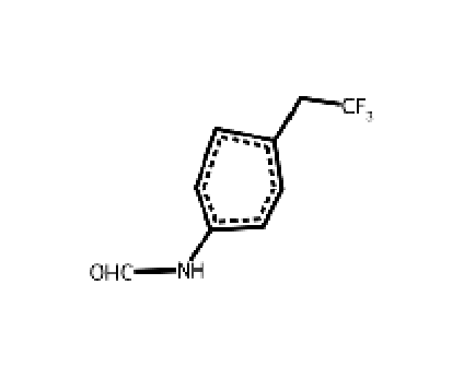 O=CNc1ccc(CC(F)(F)F)cc1